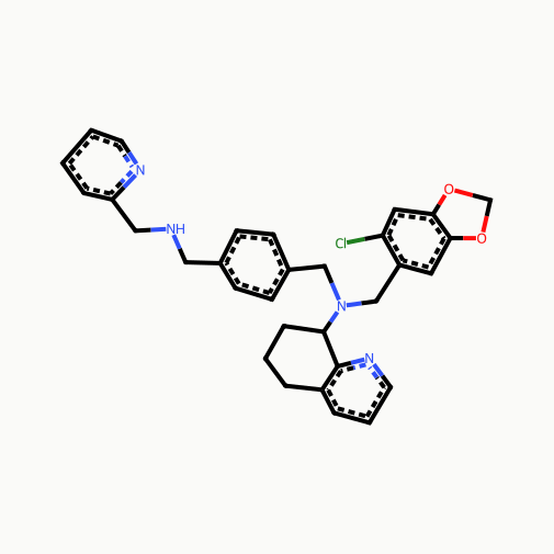 Clc1cc2c(cc1CN(Cc1ccc(CNCc3ccccn3)cc1)C1CCCc3cccnc31)OCO2